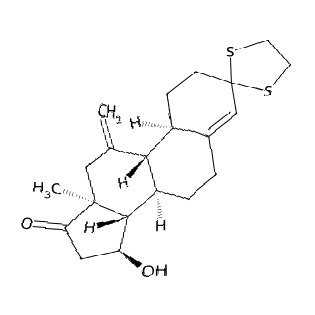 C=C1C[C@]2(C)C(=O)C[C@H](O)[C@H]2[C@@H]2CCC3=CC4(CC[C@@H]3[C@@H]12)SCCS4